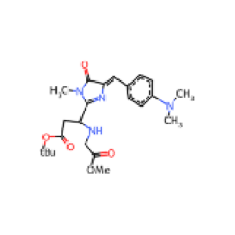 COC(=O)CNC(CC(=O)OC(C)(C)C)C1=N/C(=C\c2ccc(N(C)C)cc2)C(=O)N1C